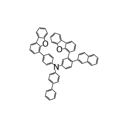 c1ccc(-c2ccc(N(c3ccc(-c4cccc5c4oc4ccccc45)cc3)c3ccc(-c4ccc5ccccc5c4)c(-c4cccc5c4oc4ccccc45)c3)cc2)cc1